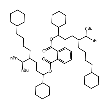 CCCCC(CCC)C(CCCCC1CCCCC1)CCC(OC(=O)c1ccccc1C(=O)OC(CCC(CCCCC1CCCCC1)C(CCC)CCCC)C1CCCCC1)C1CCCCC1